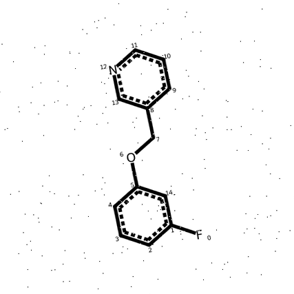 Fc1[c]ccc(OCc2cccnc2)c1